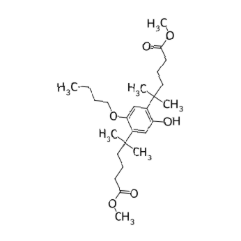 CCCCOc1cc(C(C)(C)CCCC(=O)OC)c(O)cc1C(C)(C)CCCC(=O)OC